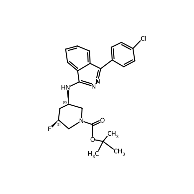 CC(C)(C)OC(=O)N1C[C@@H](F)C[C@@H](Nc2nnc(-c3ccc(Cl)cc3)c3ccccc23)C1